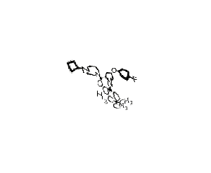 CC(C)(C)OC(=O)N1C[C@H](Oc2ccc(F)cc2)C[C@H]1C(=O)N1CCCN(C2CCC2)CC1